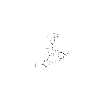 C/N=C(\C=C(/C)N/C(=N\C(=O)c1cc(P)c(C)cc1Cl)Nc1cc(C)cc(F)c1)C(F)(F)F